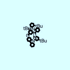 CC(C)(C)c1cc(Nc2ccccc2Nc2ccccc2C(C)(C)C)cc(Oc2ccc3c4ccccc4n(-c4cc(C(C)(C)C)ccn4)c3c2)c1